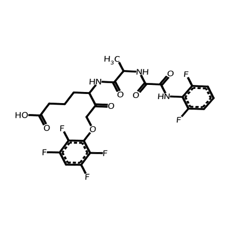 CC(NC(=O)C(=O)Nc1c(F)cccc1F)C(=O)NC(CCCC(=O)O)C(=O)COc1c(F)c(F)cc(F)c1F